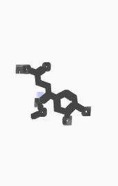 CO/N=C(/CCC(=O)O)c1ccc(Cl)c(Cl)c1